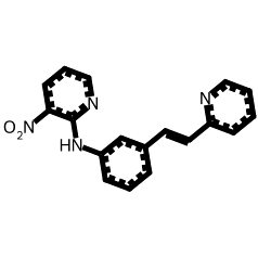 O=[N+]([O-])c1cccnc1Nc1cccc(C=Cc2ccccn2)c1